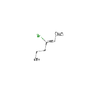 CCCCCC(Br)=CC=O